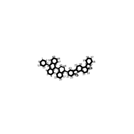 c1ccc(-c2c3ccccc3c(C3=c4ccccc4=C(c4ccc5sc6c(ccc7c6ccc6sc8ccccc8c67)c5c4)CC3)c3ccccc23)cc1